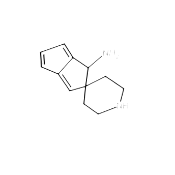 NC1C2=CC=CC2=CC12CCNCC2